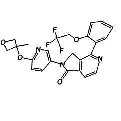 CC1(Oc2ccc(N3Cc4c(ccnc4-c4ccccc4OCC(F)(F)F)C3=O)cn2)COC1